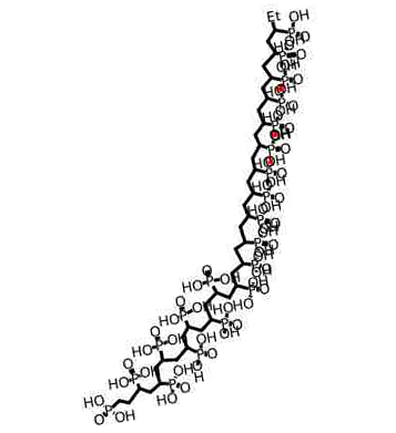 CCC(CC(CC(CC(CC(CC(CC(CC(CC(CC(CC(CC(CC(CC(CC(CC(CC(CC(CC(CCP(=O)(O)O)P(=O)(O)O)P(=O)(O)O)P(=O)(O)O)P(=O)(O)O)P(=O)(O)O)P(=O)(O)O)P(=O)(O)O)P(=O)(O)O)P(=O)(O)O)P(=O)(O)O)P(=O)(O)O)P(=O)(O)O)P(=O)(O)O)P(=O)(O)O)P(=O)(O)O)P(=O)(O)O)P(=O)(O)O)P(=O)(O)O)P(=O)(O)O